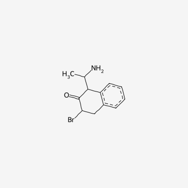 CC(N)C1C(=O)C(Br)Cc2ccccc21